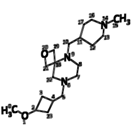 COC1CC(CN2CCN(CC3CCN(C)CC3)C3(COC3)C2)C1